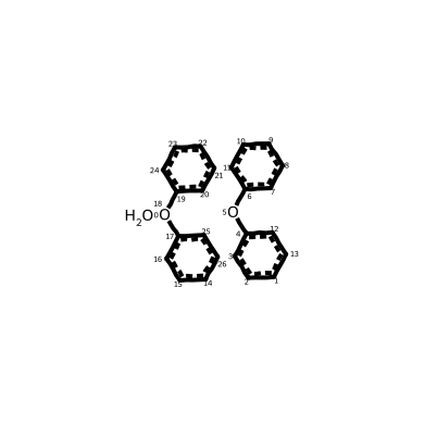 O.c1ccc(Oc2ccccc2)cc1.c1ccc(Oc2ccccc2)cc1